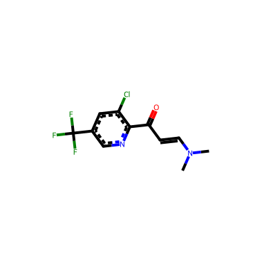 CN(C)C=CC(=O)c1ncc(C(F)(F)F)cc1Cl